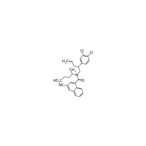 C=CCC(CN(C(=O)c1cc(C#N)cc2ccccc12)C(C)CCC(=O)O)c1ccc(Cl)c(Cl)c1